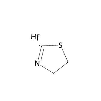 [C]1=NCCS1.[Hf]